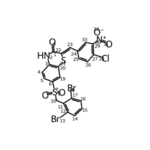 O=C1Nc2ccc(S(=O)(=O)Cc3c(Br)cccc3Br)cc2SC1=Cc1ccc(Cl)c([N+](=O)[O-])c1